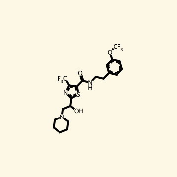 O=C(NCCc1cccc(OC(F)(F)F)c1)c1sc(C(O)CN2CCCCC2)nc1C(F)(F)F